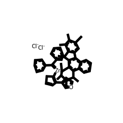 Cc1cc2c(c(C)c1C)C(C)c1c3c(c4ccccc4c1-2)C(C)C(C)C(C)[C]3(C)[Zr+2]([C]1=C(c2ccoc2)C=CC1)=[C](c1ccccc1)c1ccccc1.[Cl-].[Cl-]